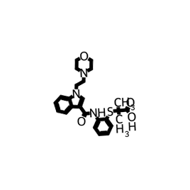 CC(C)(Sc1ccccc1NC(=O)c1cn(CCN2CCOCC2)c2ccccc12)C(=O)O